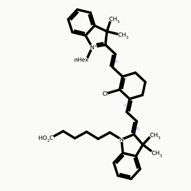 CCCCCC[N+]1=C(/C=C/C2=C(Cl)C(=C/C=C3\N(CCCCCC(=O)O)c4ccccc4C3(C)C)/CCC2)C(C)(C)c2ccccc21